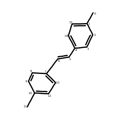 Cc1ccc(C=Cc2ccc(C)cc2)cc1